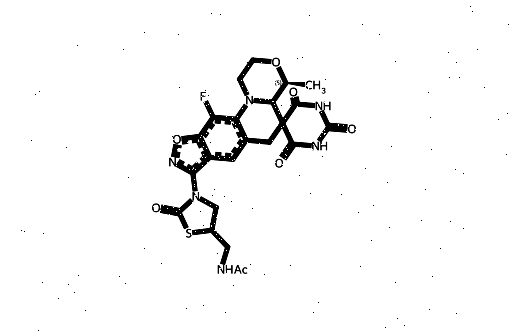 CC(=O)NCC1CN(c2noc3c(F)c4c(cc23)CC2(C(=O)NC(=O)NC2=O)C2[C@H](C)OCCN42)C(=O)S1